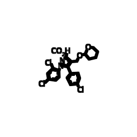 O=C(O)c1nn(-c2ccc(Cl)cc2Cl)c(-c2ccc(Cl)cc2)c1COC1CCCCO1